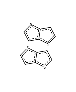 c1cc2sccc2s1.c1cc2sccc2s1